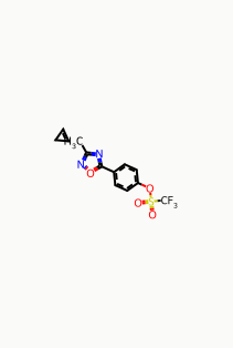 C1=CC1.Cc1noc(-c2ccc(OS(=O)(=O)C(F)(F)F)cc2)n1